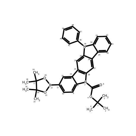 CC(C)(C)OC(=O)n1c2ccc(B3OC(C)(C)C(C)(C)O3)cc2c2cc3c(cc21)c1ccccc1n3-c1ccccc1